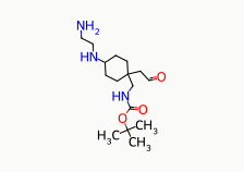 CC(C)(C)OC(=O)NCC1(CC=O)CCC(NCCN)CC1